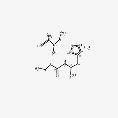 CN(CC(=O)O)C(=N)N.NCCC(=O)NC(Cc1c[nH]cn1)C(=O)O.O